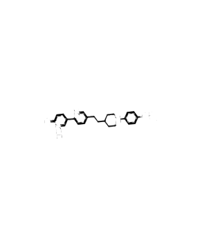 O=c1ccc(-c2ccc(CCC3CCN(c4ccc(C(F)(F)F)cc4)CC3)cn2)c[nH]1